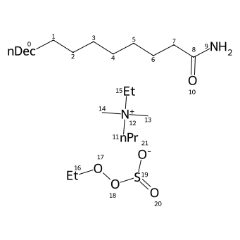 CCCCCCCCCCCCCCCCCC(N)=O.CCC[N+](C)(C)CC.CCOOS(=O)[O-]